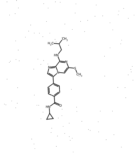 CSc1cn2c(-c3ccc(C(=O)NC4CC4)cc3)cnc2c(NCC(C)C)n1